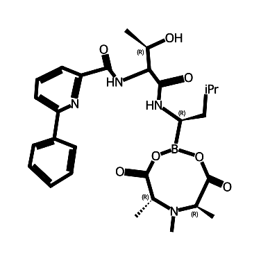 CC(C)C[C@H](NC(=O)C(NC(=O)c1cccc(-c2ccccc2)n1)[C@@H](C)O)B1OC(=O)[C@@H](C)N(C)[C@H](C)C(=O)O1